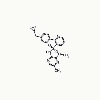 COc1nc(C)cnc1NS(=O)(=O)c1cccnc1-c1ccc(CC2CC2)cc1